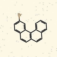 Brc1ccc2ccc3ccc4ccccc4c3c2c1